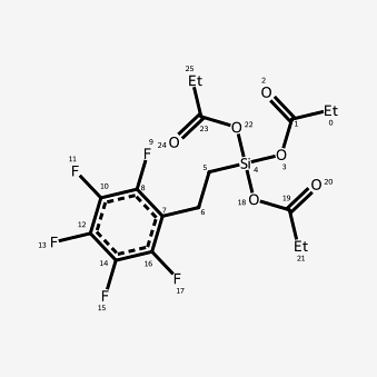 CCC(=O)O[Si](CCc1c(F)c(F)c(F)c(F)c1F)(OC(=O)CC)OC(=O)CC